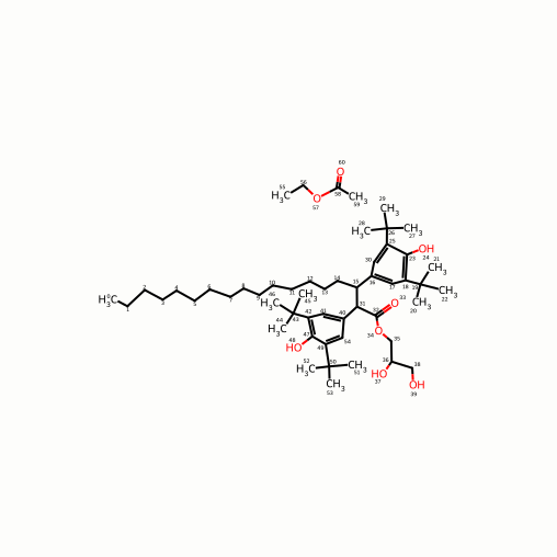 CCCCCCCCCCCCCCCC(c1cc(C(C)(C)C)c(O)c(C(C)(C)C)c1)C(C(=O)OCC(O)CO)c1cc(C(C)(C)C)c(O)c(C(C)(C)C)c1.CCOC(C)=O